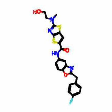 CN(CCO)c1nc2sc(C(=O)Nc3ccc4oc(Cc5ccc(F)cc5)nc4c3)cc2s1